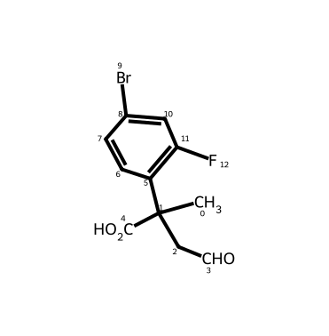 CC(CC=O)(C(=O)O)c1ccc(Br)cc1F